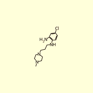 CN1CCN(CCCNc2ccc(Cl)cc2N)CC1